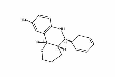 CCC(C)c1ccc2c(c1)[C@H]1OCCC[C@H]1[C@H](C1C=CC=CC1)N2